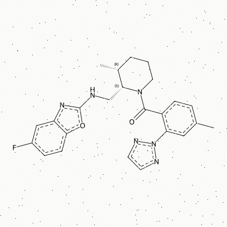 Cc1ccc(C(=O)N2CCC[C@@H](C)[C@H]2CNc2nc3cc(F)ccc3o2)c(-n2nccn2)c1